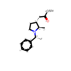 COC(=O)C[C@H]1CCN([C@H](C)c2ccccc2)[C@@H]1C